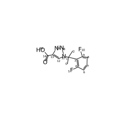 CC(C)(c1c(F)cccc1F)n1cc(C(=O)O)nn1